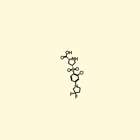 O=C(O)[C@@H]1C[C@@H](S(=O)(=O)c2ccc(N3CCC(F)(F)C3)cc2Cl)CN1